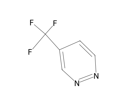 FC(F)(F)c1ccnnc1